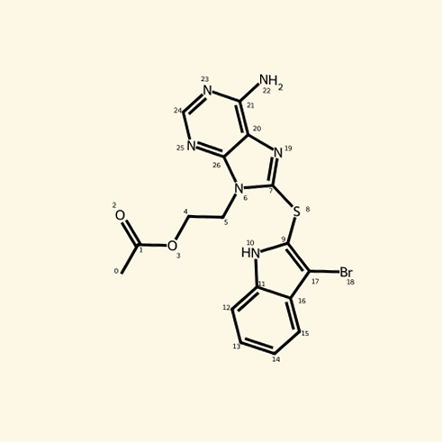 CC(=O)OCCn1c(Sc2[nH]c3ccccc3c2Br)nc2c(N)ncnc21